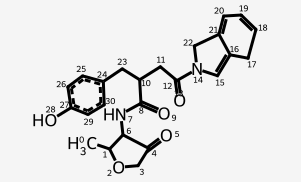 CC1OCC(=O)C1NC(=O)C(CC(=O)N1C=C2CC=CC=C2C1)Cc1ccc(O)cc1